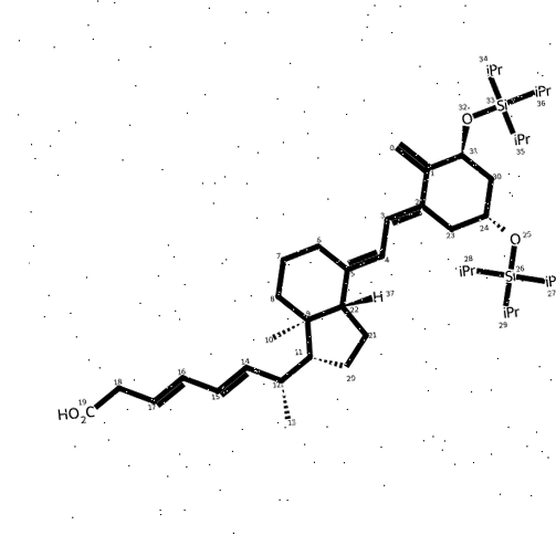 C=C1/C(=C/C=C2CCC[C@]3(C)[C@@H]([C@H](C)C=CC=CCC(=O)O)CC[C@@H]23)C[C@@H](O[Si](C(C)C)(C(C)C)C(C)C)C[C@@H]1O[Si](C(C)C)(C(C)C)C(C)C